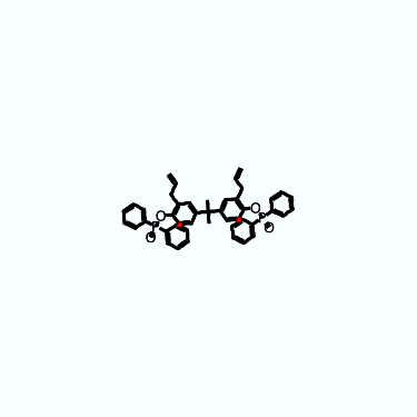 C=CCc1cc(C(C)(C)c2ccc(OP(=O)(c3ccccc3)c3ccccc3)c(CC=C)c2)ccc1OP(=O)(c1ccccc1)c1ccccc1